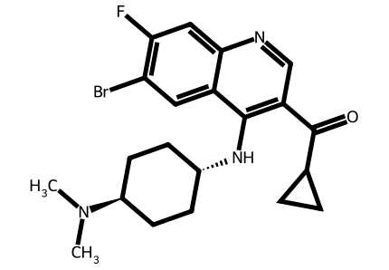 CN(C)[C@H]1CC[C@H](Nc2c(C(=O)C3CC3)cnc3cc(F)c(Br)cc23)CC1